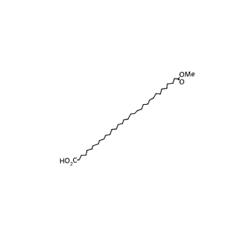 COC(=O)CCCCCCCCCCCCCCCCCCCCCCCCCCCCCCCCC(=O)O